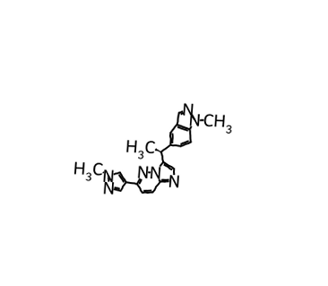 C[C@@H](c1ccc2c(cnn2C)c1)c1cnc2ccc(-c3cnn(C)c3)nn12